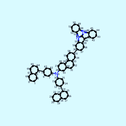 c1ccc2c(-c3ccc(N(c4ccc(-c5cccc6ccccc56)cc4)c4ccc5c(ccc6cc(-c7ccc8c9c%10ccccc%10n%10c%11ccccc%11n(c8c7)c9%10)ccc65)c4)cc3)cccc2c1